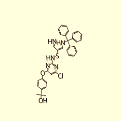 CC(C)(O)c1ccc(Oc2cc(Cl)nc(NS/C(C=N)=C/NC(c3ccccc3)(c3ccccc3)c3ccccc3)n2)cc1